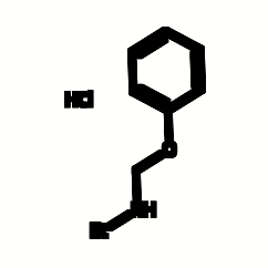 CCNCOc1ccccc1.Cl